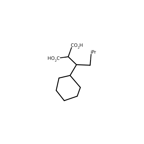 CC(C)CC(C1CCCCC1)C(C(=O)O)C(=O)O